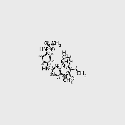 C=CC1=C(/C=C\C)N(C)c2nc(Nc3ccc(NS(C)(=O)=O)cc3)ncc2N(C)C1=O